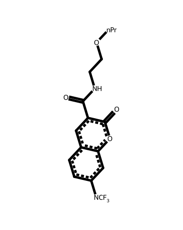 CCCOCCNC(=O)c1cc2ccc(NC(F)(F)F)cc2oc1=O